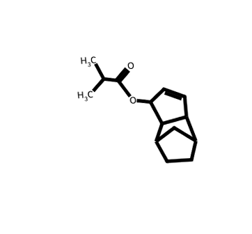 CC(C)C(=O)OC1C=CC2C3CCC(C3)C12